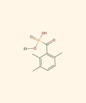 CCOP(=O)(O)C(=O)c1c(C)ccc(C)c1C